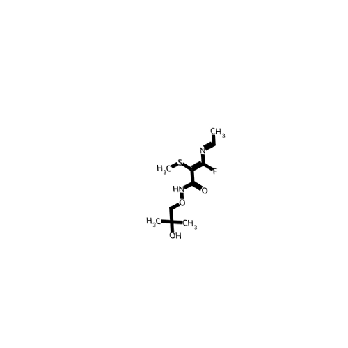 C/C=N/C(F)=C(\SC)C(=O)NOCC(C)(C)O